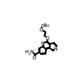 [CH2]CCCOCCOc1nc2cc(C(N)=O)ccc2c2cnccc12